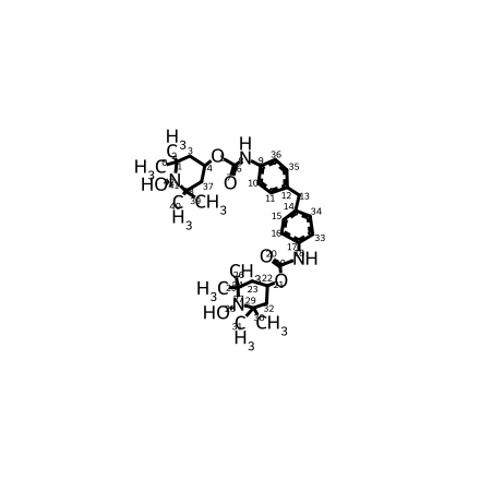 CC1(C)CC(OC(=O)Nc2ccc(Cc3ccc(NC(=O)OC4CC(C)(C)N(O)C(C)(C)C4)cc3)cc2)CC(C)(C)N1O